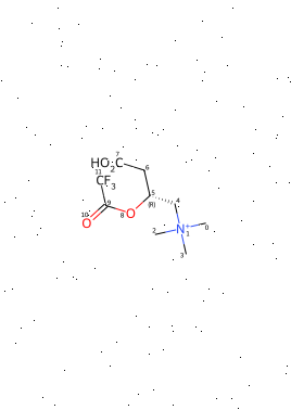 C[N+](C)(C)C[C@@H](CC(=O)O)OC(=O)C(F)(F)F